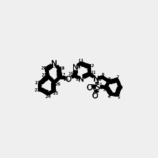 O=S1(=O)c2ccccc2CN1c1ccnc(Oc2cncc3ccccc23)n1